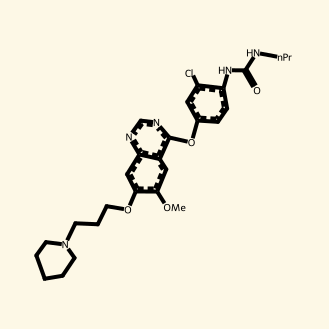 CCCNC(=O)Nc1ccc(Oc2ncnc3cc(OCCCN4CCCCC4)c(OC)cc23)cc1Cl